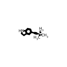 C[Si](C)(C)C#Cc1ccc2c(c1)CCN2